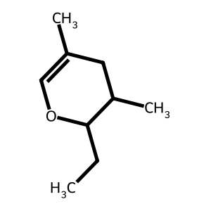 CCC1OC=C(C)CC1C